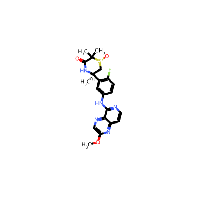 COc1cnc2c(Nc3ccc(F)c([C@]4(C)C[S+]([O-])C(C)(C)C(=O)N4)c3)nccc2n1